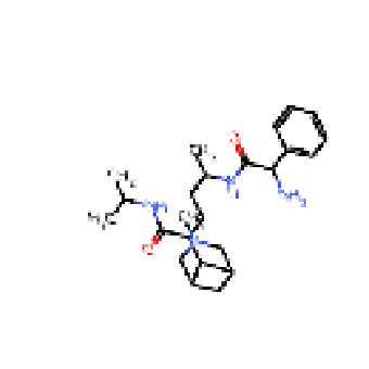 CC(C)NC(=O)C(CCC(C)NC(=O)C(N)c1ccccc1)C1C2CC1CN(C)C2